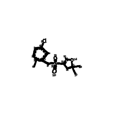 Cc1ccc(Cl)cc1CS(=O)(=O)C1=NOC(C)(C)C1